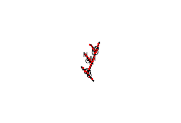 CCCCCCOCC(COCCCCCC)OC(=O)CCCCCCCN(CCCCCCCC(=O)OC(COCCCCCC)COCCCCCC)CCC(=O)NCCCN(C)C